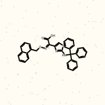 O=C(O)/C(=N\OCc1cccc2ccccc12)c1csc(NC(c2ccccc2)(c2ccccc2)c2ccccc2)n1